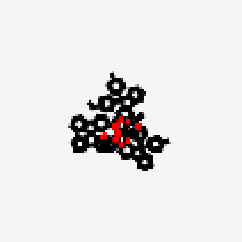 C=Cc1ccc(C2(c3ccc(C)cc3)c3ccccc3-c3ccc(N(c4ccc5c(c4)C4(c6ccccc6-5)c5ccccc5-c5ccc(N(c6ccc7c(c6)C(c6ccc(C)cc6)(c6ccc(C=C)cc6)c6ccccc6-7)c6cccc7ccccc67)cc54)c4cccc5ccccc45)cc32)cc1